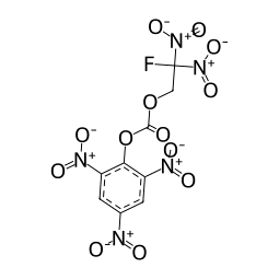 O=C(OCC(F)([N+](=O)[O-])[N+](=O)[O-])Oc1c([N+](=O)[O-])cc([N+](=O)[O-])cc1[N+](=O)[O-]